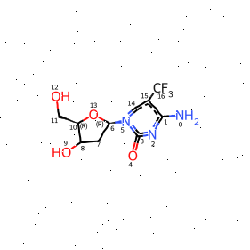 Nc1nc(=O)n([C@H]2CC(O)[C@@H](CO)O2)cc1C(F)(F)F